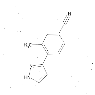 Cc1cc(C#N)ccc1-c1cc[nH]n1